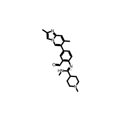 CN/C(=N\c1ccc(-c2cn3cc(C)nc3cc2C)cc1C=O)C1CCN(C)CC1